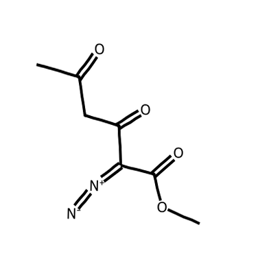 COC(=O)C(=[N+]=[N-])C(=O)CC(C)=O